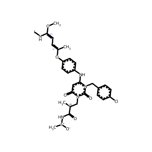 CO/C(=C/C=C(\C)Oc1ccc(Nc2cc(=O)n(C[C@H](C)C(=O)N[S+](C)[O-])c(=O)n2Cc2ccc(Cl)cc2)cc1)NI